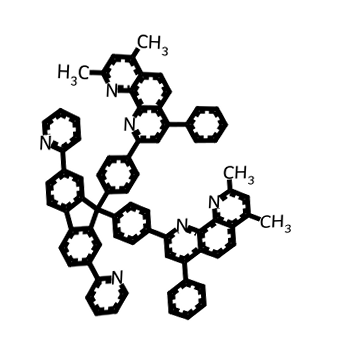 Cc1cc(C)c2ccc3c(-c4ccccc4)cc(-c4ccc(C5(c6ccc(-c7cc(-c8ccccc8)c8ccc9c(C)cc(C)nc9c8n7)cc6)c6cc(-c7ccccn7)ccc6-c6ccc(-c7ccccn7)cc65)cc4)nc3c2n1